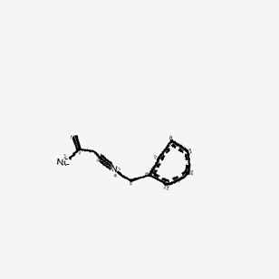 [CH]=C(C#N)C#[N+]Cc1ccccc1